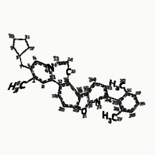 Cc1cc2[n+](cc1CC1CCCC1)C=CCc1c-2ccc2oc3nc(-c4c(C)cccc4C)ccc3c12